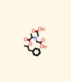 CC(Cc1ccccc1)OC(=O)C(C)N(CC(=O)O)CC(=O)O